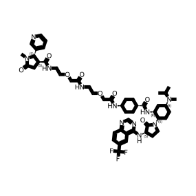 CC(C)N(C)[C@@H]1CC[C@H](N2CC[C@H](Nc3ncnc4ccc(C(F)(F)F)cc34)C2=O)[C@H](NC(=O)[C@H]2CC[C@@H](NC(=O)COCCNC(=O)COCCNC(=O)[C@H]3CC(=O)N(C)[C@@H]3c3cccnc3)CC2)C1